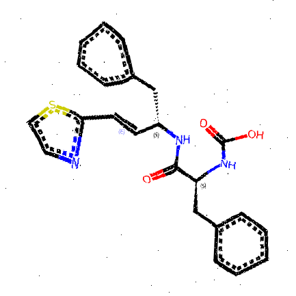 O=C(O)N[C@@H](Cc1ccccc1)C(=O)N[C@H](/C=C/c1nccs1)Cc1ccccc1